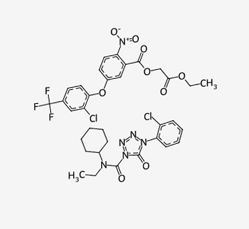 CCN(C(=O)n1nnn(-c2ccccc2Cl)c1=O)C1CCCCC1.CCOC(=O)COC(=O)c1cc(Oc2ccc(C(F)(F)F)cc2Cl)ccc1[N+](=O)[O-]